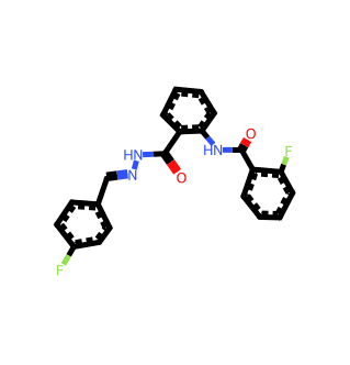 O=C(Nc1ccccc1C(=O)N/N=C/c1ccc(F)cc1)c1ccccc1F